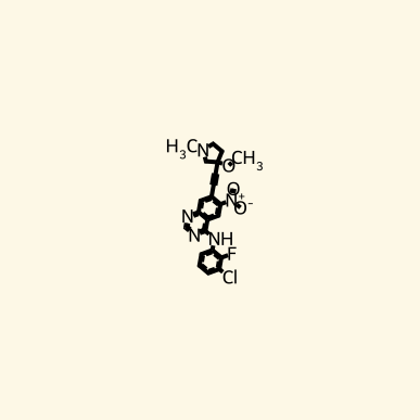 COC1(C#Cc2cc3ncnc(Nc4cccc(Cl)c4F)c3cc2[N+](=O)[O-])CCN(C)C1